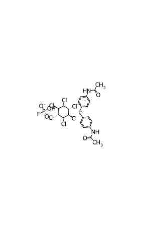 CC(=O)Nc1ccc([I+]c2ccc(NC(C)=O)cc2)cc1.Cl[C@H]1[C@H](Cl)[C@@H](Cl)[C@@H](Cl)[C@H](Cl)[C@H]1Cl.O=P([O-])(O)F